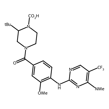 CNc1nc(Nc2ccc(C(=O)N3CCN(C(=O)O)C(C(C)(C)C)C3)cc2OC)ncc1C(F)(F)F